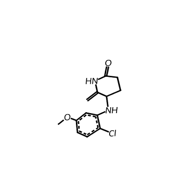 C=C1NC(=O)CCC1Nc1cc(OC)ccc1Cl